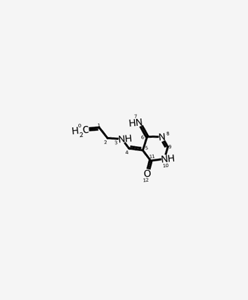 C=CCN/C=C1\C(=N)N=CNC1=O